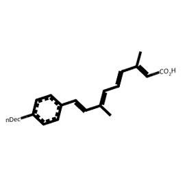 CCCCCCCCCCc1ccc(C=CC(C)=CC=CC(C)=CC(=O)O)cc1